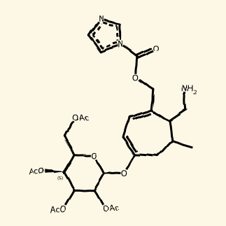 CC(=O)OCC1OC(OC2=CC=C(COC(=O)n3ccnc3)C(CN)C(C)C2)C(OC(C)=O)C(OC(C)=O)[C@H]1OC(C)=O